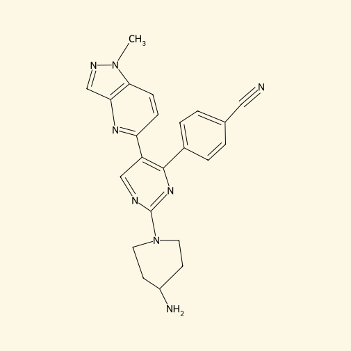 Cn1ncc2nc(-c3cnc(N4CCC(N)CC4)nc3-c3ccc(C#N)cc3)ccc21